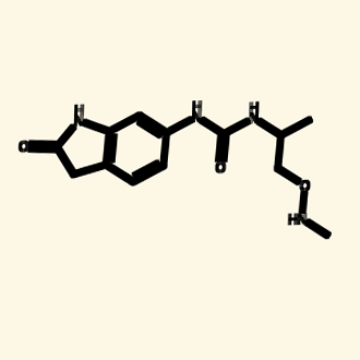 CNOCC(C)NC(=O)Nc1ccc2c(c1)NC(=O)C2